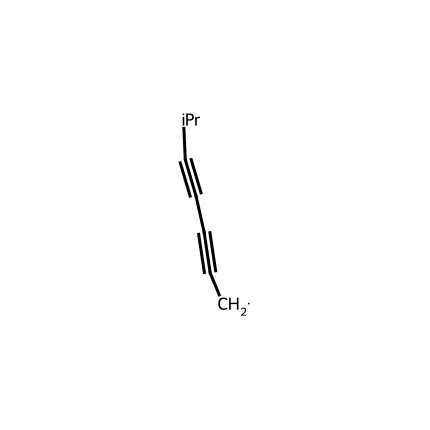 [CH2]C#CC#CC(C)C